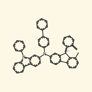 C=c1cccc/c1=C1\c2cc(N(c3ccc(-c4ccccc4)cc3)c3ccc4c5ccccc5n(-c5ccccc5)c4c3)ccc2-c2cccc(C)c21